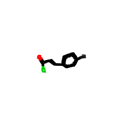 CCc1ccc(C=CC(=O)Cl)cc1